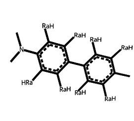 Cc1[c]([RaH])[c]([RaH])c(-c2[c]([RaH])[c]([RaH])c(N(C)C)[c]([RaH])[c]2[RaH])[c]([RaH])[c]1[RaH]